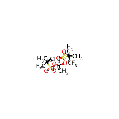 CC(OS(=O)(=O)C(C)(C)C(F)(F)F)OS(=O)(=O)C(C)(C)C(F)(F)F